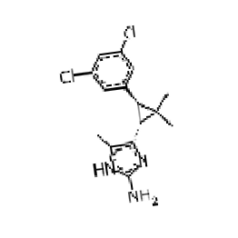 Cc1[nH]c(N)nc1[C@@H]1[C@@H](c2cc(Cl)cc(Cl)c2)C1(C)C